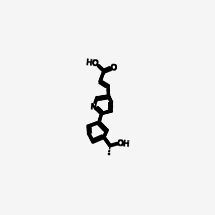 C[C@@H](O)c1cccc(-c2ccc(/C=C/C(=O)O)cn2)c1